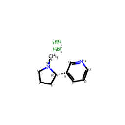 Br.Br.CN1CCC[C@H]1c1cccnc1